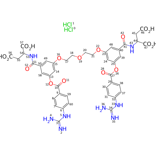 Cl.Cl.N=C(N)Nc1ccc(C(=O)Oc2cc(OCCOCCOc3cc(OC(=O)c4ccc(NC(=N)N)cc4)cc(C(=O)NC(CC(=O)O)C(=O)O)c3)cc(C(=O)NC(CC(=O)O)C(=O)O)c2)cc1